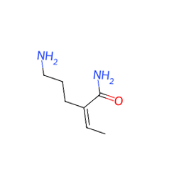 CC=C(CCCN)C(N)=O